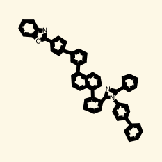 c1ccc(C2=NC(c3ccccc3-c3cccc4c(-c5cccc(-c6ccc(-c7nc8ccccc8o7)cc6)c5)cccc34)N2c2ccc(-c3ccccc3)cc2)cc1